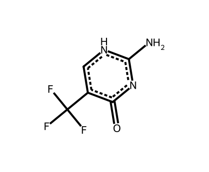 Nc1nc(=O)c(C(F)(F)F)c[nH]1